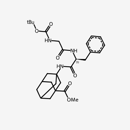 COC(=O)C12CC3CC(CC(NC(=O)[C@H](Cc4ccccc4)NC(=O)CNC(=O)OC(C)(C)C)(C3)C1)C2